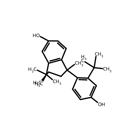 CCCC(C)(c1ccc(O)cc1C(C)(C)C)c1ccc(O)cc1C(C)(C)C